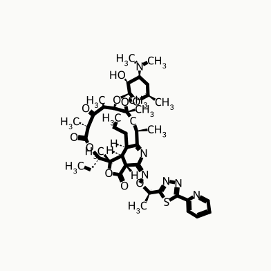 CCC[C@H]1C2=N/C(=N/O[C@H](C)c3nnc(-c4ccccn4)s3)[C@@H]3C(=O)O[C@@](C)([C@@H]13)[C@H](CC)OC(=O)[C@H](C)C(=O)[C@H](C)[C@@H](O[C@@H]1O[C@H](C)C[C@H](N(C)C)[C@H]1O)[C@](C)(OC)C[C@H]2C